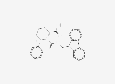 O=C(O)[C@@H]1CCC[C@H](c2ccccc2)N1C(=O)OCC1c2ccccc2-c2ccccc21